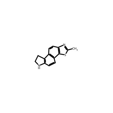 Cc1nc2ccc3c4c(ccc3c2s1)NCC4